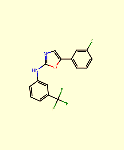 FC(F)(F)c1cccc(Nc2ncc(-c3cccc(Cl)c3)o2)c1